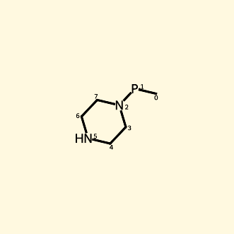 C[P]N1CCNCC1